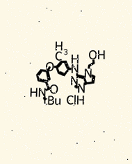 Cc1cc(Nc2ncnc3ccn(CCO)c23)ccc1Oc1cccc(C(=O)NC(C)(C)C)c1.Cl